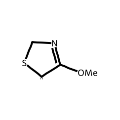 COC1=NCS[C]1